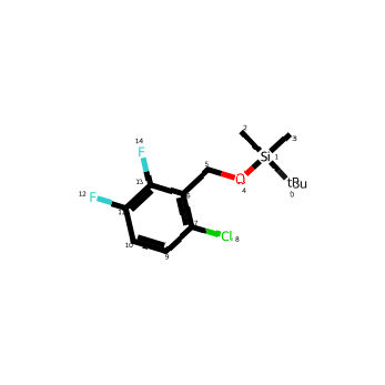 CC(C)(C)[Si](C)(C)OCc1c(Cl)ccc(F)c1F